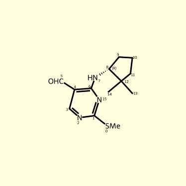 CSc1ncc(C=O)c(N[C@@H]2CCCC2(C)C)n1